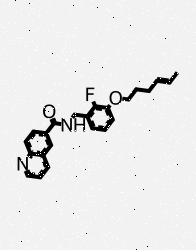 C/C=C/CCCOc1cccc(CNC(=O)c2ccc3ncccc3c2)c1F